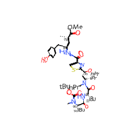 CCCO[C@H](C[C@H](C(C)C)N(CCC)C(=O)[C@@H](NC(=O)[C@@H]([C@@H](C)CC)N(C)C(=O)OC(C)(C)C)[C@@H](C)CC)c1nc(C(=O)N[C@@H](Cc2ccc(O)cc2)C[C@H](C)C(=O)OC)cs1